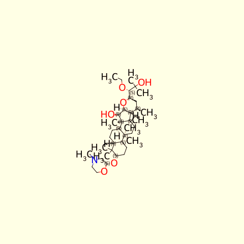 CCO[C@@H]([C@H]1C[C@@H](C)[C@H]2[C@H](O1)[C@H](O)[C@@]1(C)[C@@H]3CC[C@H]4C(C)(C)[C@@H](O[C@H]5CN(C)CCO5)CC[C@]4(C)[C@]3(C)CC[C@]21C)C(C)(C)O